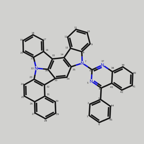 c1ccc(-c2nc(-n3c4ccccc4c4c5c6ccccc6n6c7ccc8ccccc8c7c(cc43)c56)nc3ccccc23)cc1